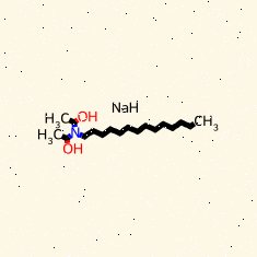 CCCCCCCCCCCCCCN(C(C)O)C(C)O.[NaH]